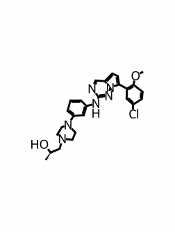 COc1ccc(Cl)cc1-c1ccc2cnc(Nc3cccc(N4CCN(C[C@@H](C)O)CC4)c3)nn12